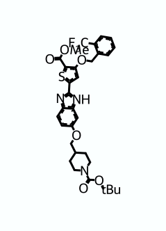 COC(=O)c1sc(-c2nc3ccc(OCC4CCN(C(=O)OC(C)(C)C)CC4)cc3[nH]2)cc1OCc1ccccc1C(F)(F)F